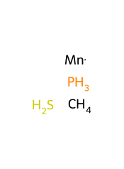 C.P.S.[Mn]